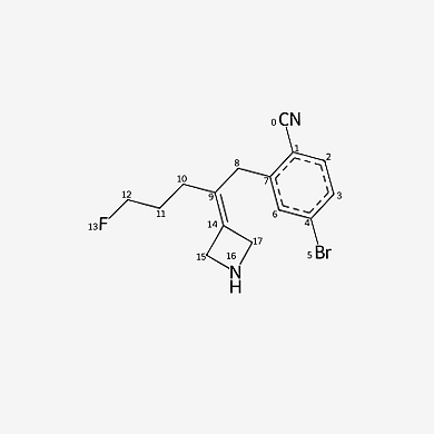 N#Cc1ccc(Br)cc1CC(CCCF)=C1CNC1